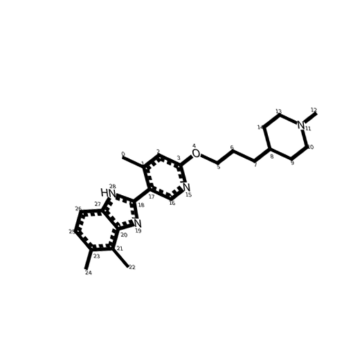 Cc1cc(OCCCC2CCN(C)CC2)ncc1-c1nc2c(C)c(C)ccc2[nH]1